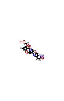 Cc1cc2c(c(O[C@@H](C)CO)c1F)C(=O)N1C[C@@H](Oc3cc4c(cn3)CCC(=O)N4)C[C@@H]1CO2